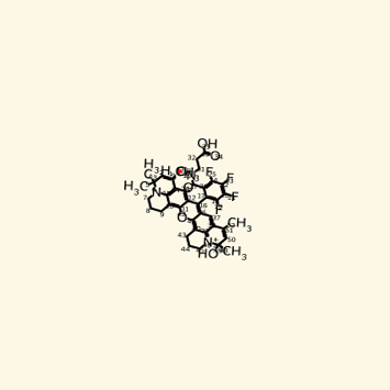 CC1=CC(C)(C)N2CCCc3c4c(cc1c32)C(c1c(F)c(F)c(F)c(F)c1C(=O)N(C)CCC(=O)O)=c1cc2c3c(c1O4)CCC[N+]=3C(C)(O)C=C2C